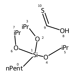 CCCCC[Si](OC(C)C)(OC(C)C)OC(C)C.OC=S